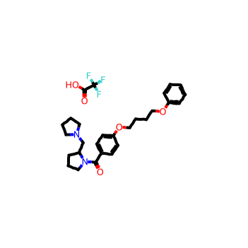 O=C(O)C(F)(F)F.O=C(c1ccc(OCCCCOc2ccccc2)cc1)N1CCCC1CN1CCCC1